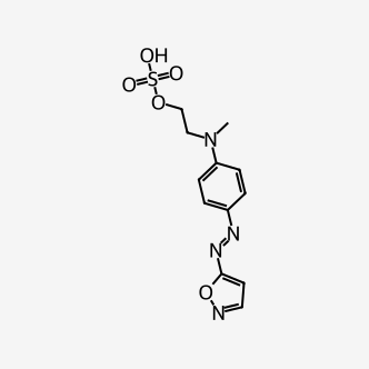 CN(CCOS(=O)(=O)O)c1ccc(/N=N/c2ccno2)cc1